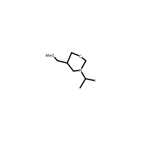 COCC1CCCN(C(C)I)C1